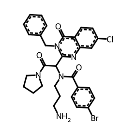 NCCCN(C(=O)c1ccc(Br)cc1)C(C(=O)N1CCCC1)c1nc2cc(Cl)ccc2c(=O)n1Cc1ccccc1